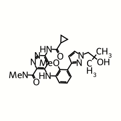 CNC(=O)c1nnc(NC(=O)C2CC2)cc1Nc1cccc(-c2ccn(CC(C)(C)O)n2)c1OC